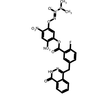 CN(C)/[N+]([O-])=N/Oc1cc(OC(=O)c2cc(Cc3n[nH]c(=O)c4ccccc34)ccc2F)c([N+](=O)[O-])cc1[N+](=O)[O-]